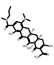 CCCN(C)C(=O)c1cc(N(C)C)c2c(c1O)C(=O)C1=C(O)[C@]3(O)C(=O)C(C(N)=O)=C(O)C[C@@H]3C[C@@H]1C2